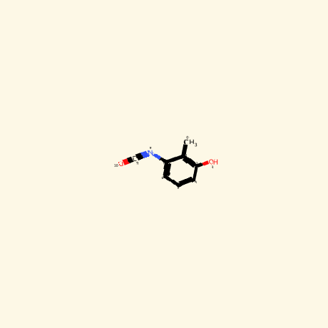 Cc1c(O)cccc1N=C=O